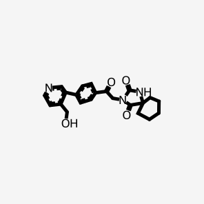 O=C(CN1C(=O)NC2(CCCCC2)C1=O)c1ccc(-c2cnccc2CO)cc1